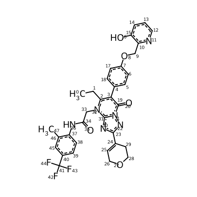 CCc1c(-c2ccc(OCc3ncccc3O)cc2)c(=O)n2nc(C3=CCOCC3)nc2n1CC(=O)Nc1ccc(C(F)(F)F)cc1C